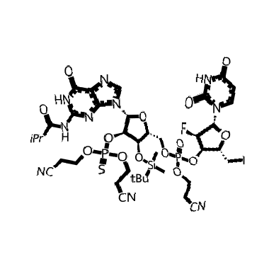 CC(C)C(=O)Nc1nc2c(ncn2[C@@H]2O[C@H](COP(=O)(OCCC#N)O[C@H]3[C@@H](F)[C@H](n4ccc(=O)[nH]c4=O)O[C@@H]3CI)[C@@H](O[Si](C)(C)C(C)(C)C)[C@H]2OP(=S)(OCCC#N)OCCC#N)c(=O)[nH]1